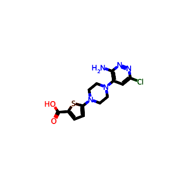 Nc1nnc(Cl)cc1N1CCN(c2ccc(C(=O)O)s2)CC1